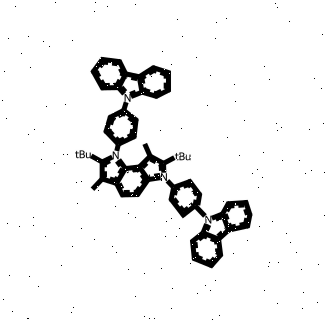 Cc1c(C(C)(C)C)n(-c2ccc(-n3c4ccccc4c4ccccc43)cc2)c2c1ccc1c2c(C)c(C(C)(C)C)n1-c1ccc(-n2c3ccccc3c3ccccc32)cc1